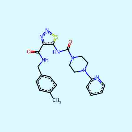 Cc1ccc(CNC(=O)c2nnsc2NC(=O)N2CCN(c3ccccn3)CC2)cc1